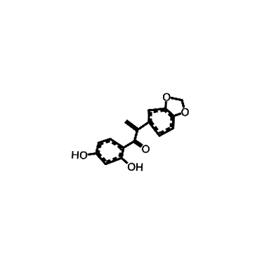 C=C(C(=O)c1ccc(O)cc1O)c1ccc2c(c1)OCO2